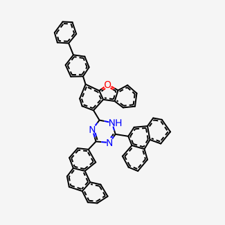 c1ccc(-c2ccc(-c3ccc(C4N=C(c5ccc6ccc7ccccc7c6c5)N=C(c5cc6ccccc6c6ccccc56)N4)c4c3oc3ccccc34)cc2)cc1